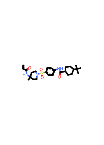 C=CC(=O)NC1(C)CCN(S(=O)(=O)c2ccc(NC(=O)C3CCC(C(C)(C)C)CC3)cc2)CC1